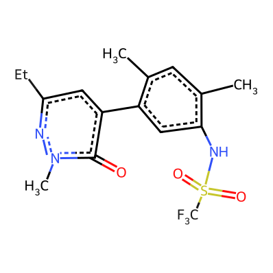 CCc1cc(-c2cc(NS(=O)(=O)C(F)(F)F)c(C)cc2C)c(=O)n(C)n1